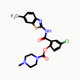 CN1CCN(C(=O)Oc2ccc(Cl)cc2C(=O)Nc2nc3ccc(C(F)(F)F)cc3s2)CC1